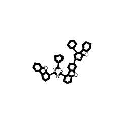 c1ccc(-c2nc(-c3cccc4c3oc3ccccc34)nc(-c3cccc4oc5cc(-c6cc(-c7ccccc7)c7c(c6)oc6ccccc67)ccc5c34)n2)cc1